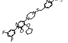 Nc1ccc(CSN2CCN(c3cnn(-c4cc(F)cc(F)c4)c(=O)c3OC3CCCC3)CC2)cn1